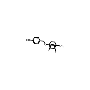 CC12CCC(OCc3ccc(O)cc3)(CC1)C(F)=C2F